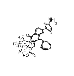 CC(C)Cn1c(CN(C(=O)O)C(C)(C)C)c(-c2ccccc2)c2cc(-c3nc(N)cs3)ccc2c1=O